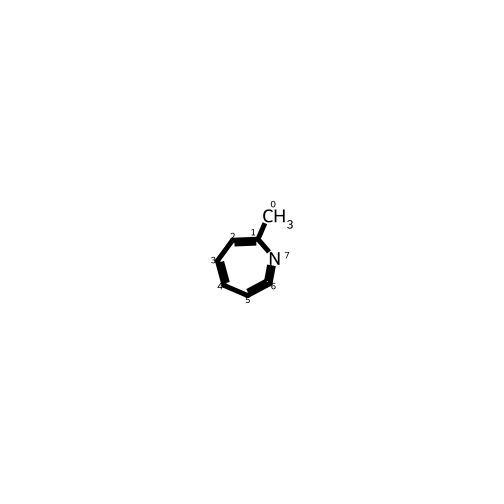 CC1=CC=CC=C=N1